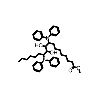 CCCCCCC(C(O)C(O)C(CCCCCCCC(=O)OC)N(c1ccccc1)c1ccccc1)N(c1ccccc1)c1ccccc1